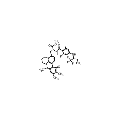 CC[C@@H](Nc1cc(F)c(C(=O)N[C@@H](Cc2ccc(-c3c(OC)cc(C)n(C)c3=O)c3c2CCCO3)C(=O)OC)c(F)c1)C(F)(F)F